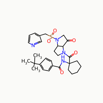 CC(C)(C)c1ccc(C(=O)NC2(C(=O)N3CCC4C3C(=O)CN4S(=O)(=O)Cc3cccnc3)CCCCC2)cc1